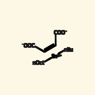 CCCCCCC[CH2][Sn+2][CH2]CCC.O=C([O-])/C=C\C(=O)[O-]